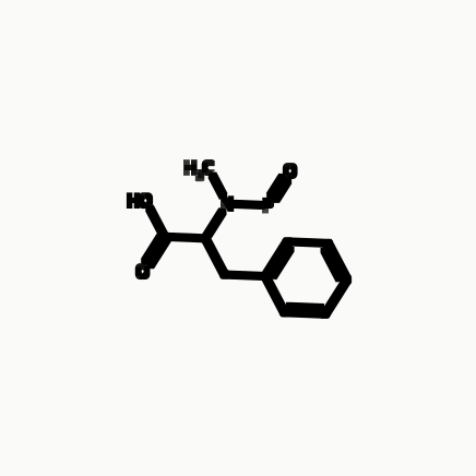 CN(P=O)C(Cc1ccccc1)C(=O)O